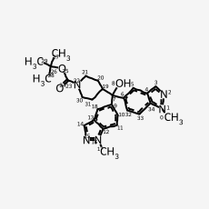 Cn1ncc2cc(C(O)(c3ccc4c(cnn4C)c3)C3CCN(C(=O)OC(C)(C)C)CC3)ccc21